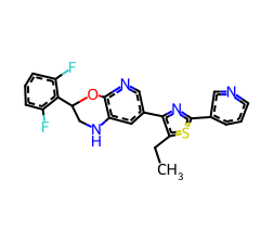 CCc1sc(-c2cccnc2)nc1-c1cnc2c(c1)NCC(c1c(F)cccc1F)O2